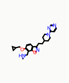 CNCc1c(OCC2CC2)ccc2c(CCC3CCN(c4ccncn4)CC3)noc12